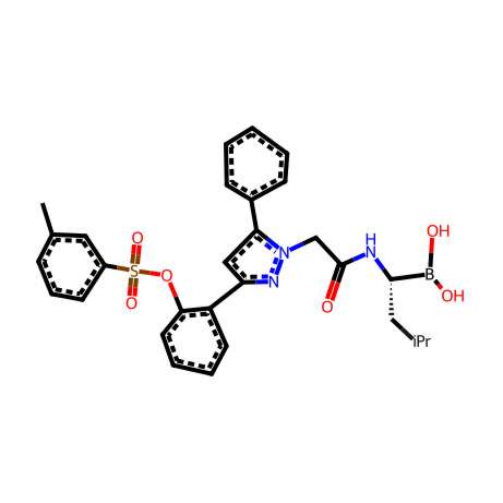 Cc1cccc(S(=O)(=O)Oc2ccccc2-c2cc(-c3ccccc3)n(CC(=O)N[C@@H](CC(C)C)B(O)O)n2)c1